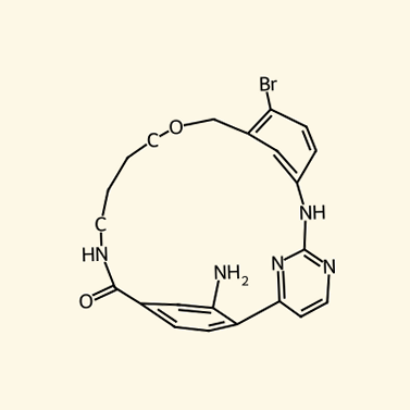 Nc1cc2ccc1-c1ccnc(n1)Nc1ccc(Br)c(c1)COCCCCNC2=O